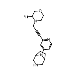 [2H]C1COCCN1CC#Cc1cc(N2C3CCC2CNC3)ccn1